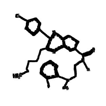 CCN(CCN(C)c1ccccc1F)C(=O)c1ccc2nc(-c3ccc(Cl)cc3)c(CCCCC(=O)O)nc2c1